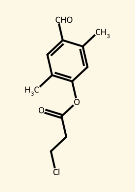 Cc1cc(OC(=O)CCCl)c(C)cc1C=O